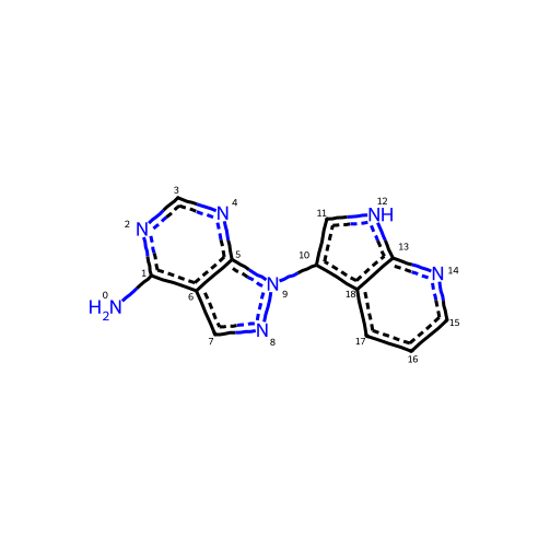 Nc1ncnc2c1cnn2-c1c[nH]c2ncccc12